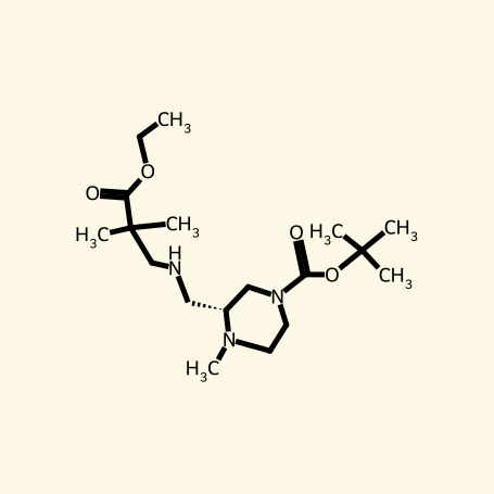 CCOC(=O)C(C)(C)CNC[C@@H]1CN(C(=O)OC(C)(C)C)CCN1C